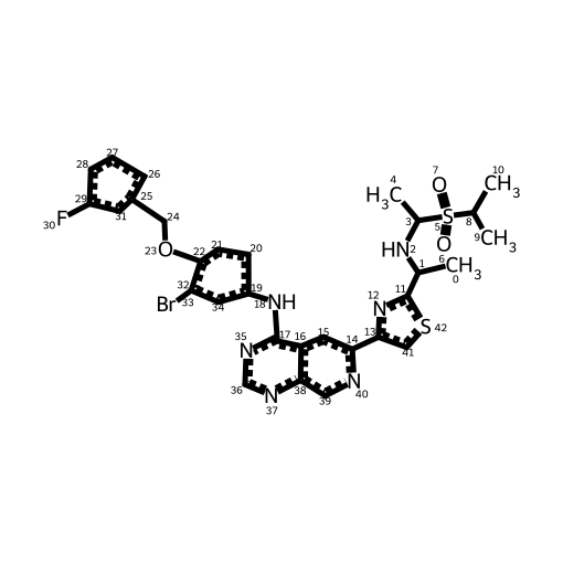 CC(NC(C)S(=O)(=O)C(C)C)c1nc(-c2cc3c(Nc4ccc(OCc5cccc(F)c5)c(Br)c4)ncnc3cn2)cs1